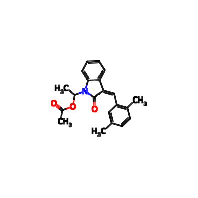 CC(=O)OC(C)N1C(=O)C(=Cc2cc(C)ccc2C)c2ccccc21